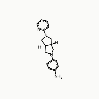 Nc1ccc(N2C[C@H]3CN(c4ccccn4)C[C@@H]3C2)cc1